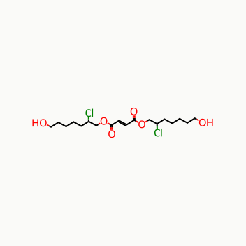 O=C(/C=C/C(=O)OCC(Cl)CCCCCO)OCC(Cl)CCCCCO